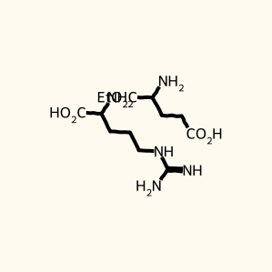 CCOC(=O)C(N)CCC(=O)O.N=C(N)NCCCC(N)C(=O)O